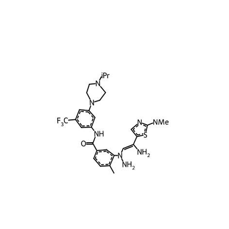 CNc1ncc(/C(N)=C/N(N)c2cc(C(=O)Nc3cc(N4CCN(C(C)C)CC4)cc(C(F)(F)F)c3)ccc2C)s1